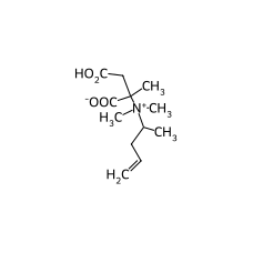 C=CCC(C)[N+](C)(C)C(C)(CC(=O)O)C(=O)[O-]